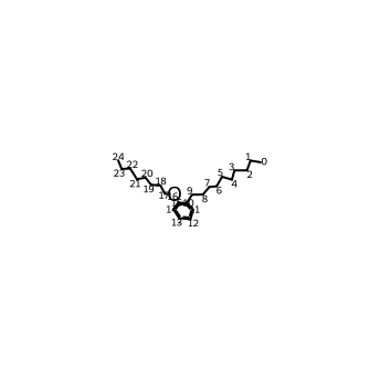 CCCCCCCCCCc1cc[c]cc1OCCCCCCCC